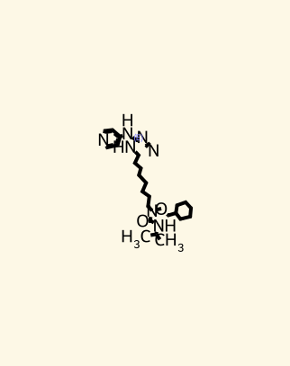 CC(C)NC(=O)N(CCCCCCCCN/C(=N\C#N)Nc1ccncc1)OCC1CCCCC1